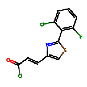 O=C(Cl)C=Cc1csc(-c2c(F)cccc2Cl)n1